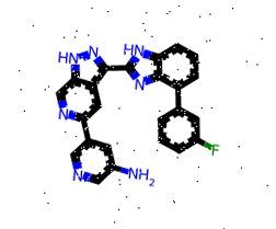 Nc1cncc(-c2cc3c(-c4nc5c(-c6cccc(F)c6)cccc5[nH]4)n[nH]c3cn2)c1